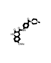 COc1ccc2c(c1)CC(C(=O)Nc1ccc(C(=O)N3CCN(C)CC3)cc1)C(=O)N2